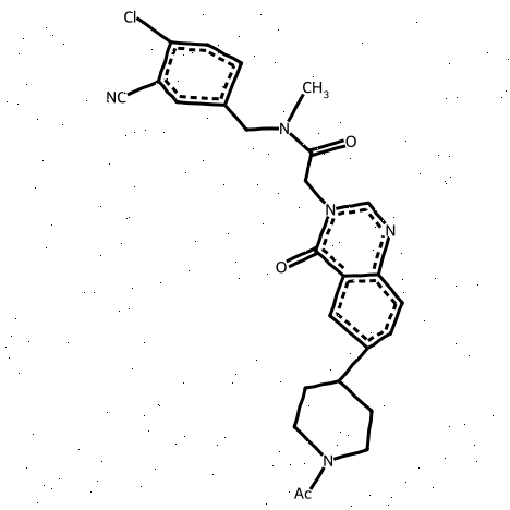 CC(=O)N1CCC(c2ccc3ncn(CC(=O)N(C)Cc4ccc(Cl)c(C#N)c4)c(=O)c3c2)CC1